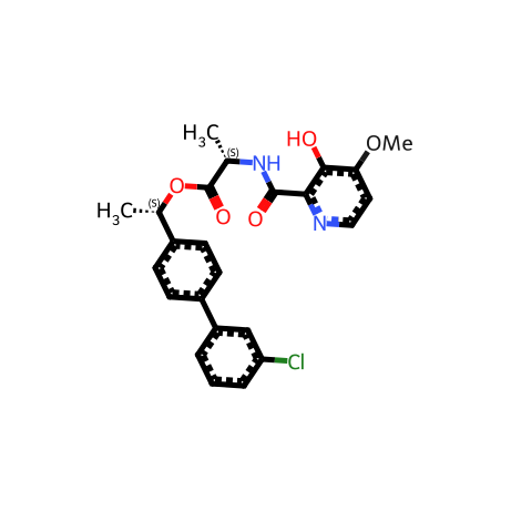 COc1ccnc(C(=O)N[C@@H](C)C(=O)O[C@@H](C)c2ccc(-c3cccc(Cl)c3)cc2)c1O